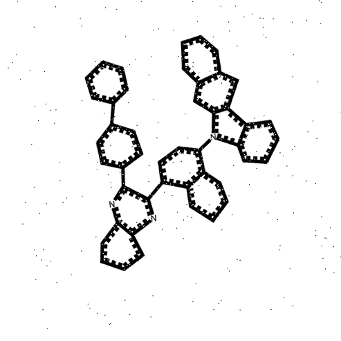 c1ccc(-c2ccc(-c3nc4ccccc4nc3-c3ccc(-n4c5ccccc5c5cc6ccccc6cc54)c4ccccc34)cc2)cc1